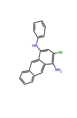 Nc1c(Br)cc(Nc2ccccc2)c2cc3ccccc3cc12